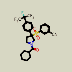 N#Cc1cccc(S(=O)(=O)C2(c3ccc(C(F)(C(F)(F)F)C(F)(F)F)cc3)CCN(C(=O)C3CCCCC3)C2)c1